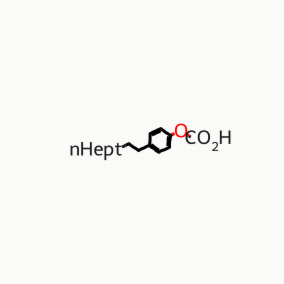 CCCCCCCCCc1ccc(OC(=O)O)cc1